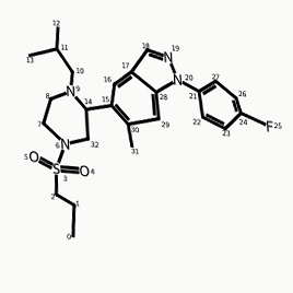 CCCS(=O)(=O)N1CCN(CC(C)C)C(c2cc3cnn(-c4ccc(F)cc4)c3cc2C)C1